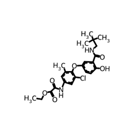 CCOC(=O)C(=O)Nc1cc(C)c(Oc2ccc(O)c(C(=O)NCC(C)(C)C)c2)c(Cl)c1